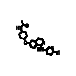 CC(=O)N[C@H]1CC[C@@H](Oc2ccc3c(Nc4ccc(Cl)nc4)nccc3c2)CC1